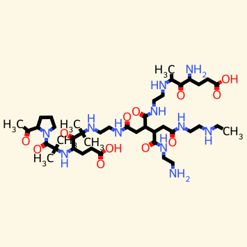 CCNCCNC(=O)CC(C(=O)NCCN)C(CC(=O)NCCNC(C)(C)C(=O)C(CCC(=O)O)NC(C)(C)C(=O)N1CCCC1C(C)=O)C(=O)NCCNC(C)C(=O)C(N)CCC(=O)O